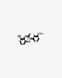 COc1cccc(N/C(C)=N\c2c(Cl)cccc2Cl)c1